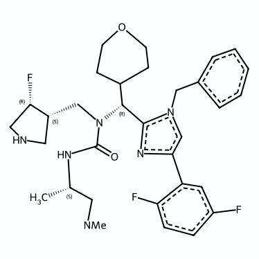 CNC[C@H](C)NC(=O)N(C[C@@H]1CNC[C@@H]1F)[C@@H](c1nc(-c2cc(F)ccc2F)cn1Cc1ccccc1)C1CCOCC1